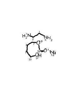 NCCN.O=[PH]1OCCCCO1.[Ni]